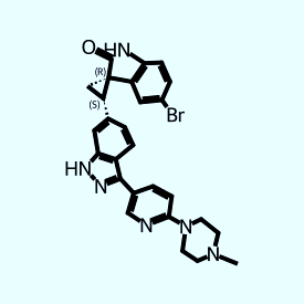 CN1CCN(c2ccc(-c3n[nH]c4cc([C@@H]5C[C@@]56C(=O)Nc5ccc(Br)cc56)ccc34)cn2)CC1